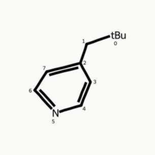 CC(C)(C)Cc1ccncc1